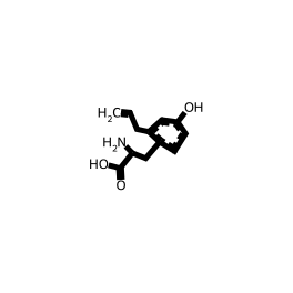 C=CCc1cc(O)ccc1CC(N)C(=O)O